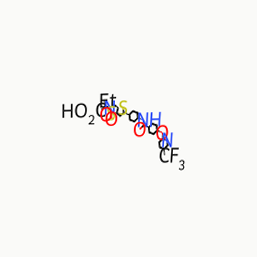 CCC(C(=O)O)N1Cc2sc(-c3ccc(NC(=O)c4ccc(Oc5ccc(C(F)(F)F)cn5)cc4)cc3)cc2S1(=O)=O